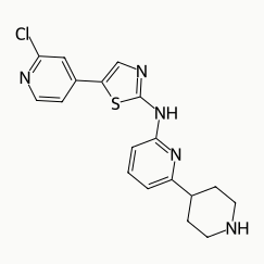 Clc1cc(-c2cnc(Nc3cccc(C4CCNCC4)n3)s2)ccn1